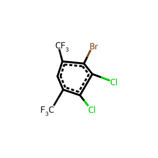 FC(F)(F)c1cc(C(F)(F)F)c(Br)c(Cl)c1Cl